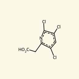 O=C(O)Cc1nc(Cl)c(Cl)cc1Cl